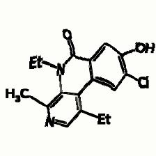 CCc1cnc(C)c2c1c1cc(Cl)c(O)cc1c(=O)n2CC